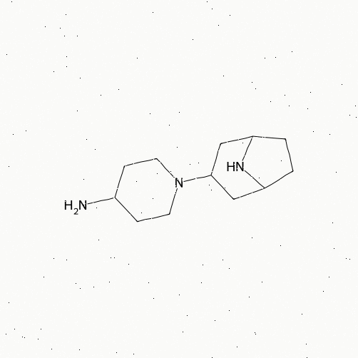 NC1CCN(C2CC3CCC(C2)N3)CC1